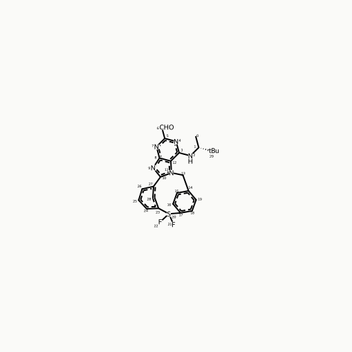 C[C@@H](Nc1nc(C=O)nc2nc3n(c12)Cc1ccc(cc1)S(F)(F)c1cccc-3c1)C(C)(C)C